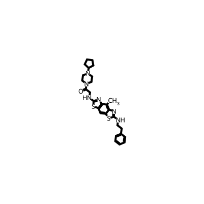 Cc1c2nc(NCCc3ccccc3)sc2cc2sc(NCC(=O)N3CCN(C4CCCC4)CC3)nc12